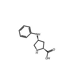 O=C(O)[C@@H]1C[C@H](Nc2ccccc2)CN1